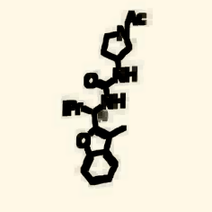 CC(=O)N1CCC(NC(=O)N[C@@H](c2oc3ccccc3c2C)C(C)C)C1